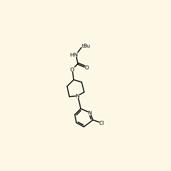 CC(C)(C)NC(=O)OC1CCN(c2cccc(Cl)n2)CC1